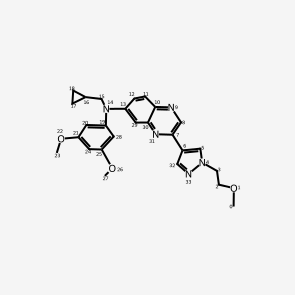 COCCn1cc(-c2cnc3ccc(N(CC4CC4)c4cc(OC)cc(OC)c4)cc3n2)cn1